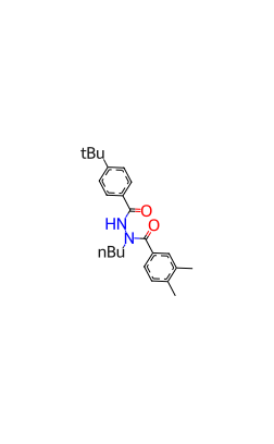 CCCCN(NC(=O)c1ccc(C(C)(C)C)cc1)C(=O)c1ccc(C)c(C)c1